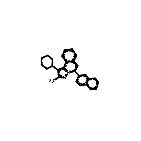 Cc1nn2c(-c3ccc4ccccc4c3)cc3ccccc3c2c1C1CCCCC1